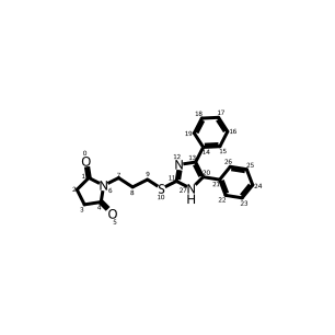 O=C1CCC(=O)N1CCCSc1nc(-c2ccccc2)c(-c2ccccc2)[nH]1